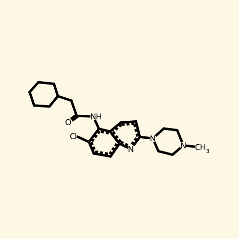 CN1CCN(c2ccc3c(NC(=O)CC4CCCCC4)c(Cl)ccc3n2)CC1